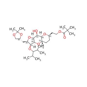 CC(C)C(O[C@@H]1[C@@H]2O[C@H]3CC[C@H](CCOC(=O)C(C)(C)C)O[C@@H]3[C@H](O)[C@@H]2O[C@@H]1C[C@@H]1COC(C)(C)O1)C(C)C